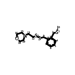 ISCc1ccccc1CSSCCN1CCOCC1